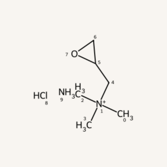 C[N+](C)(C)CC1CO1.Cl.N